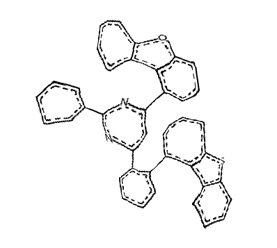 c1ccc(-c2nc(-c3ccccc3-c3cccc4sc5ccccc5c34)cc(-c3cccc4oc5ccccc5c34)n2)cc1